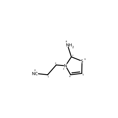 N#CCCN1C=CSC1N